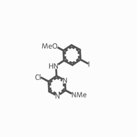 CNc1ncc(Cl)c(Nc2cc(I)ccc2OC)n1